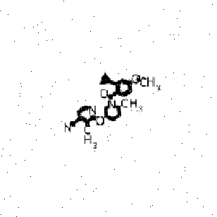 COc1ccc(C(=O)N2C[C@H](Oc3nccc(C#N)c3C)CC[C@H]2C)c(C2CC2)c1